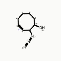 [N-]=[N+]=NC1/C=C\CCCCC1O